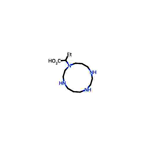 CCC(C(=O)O)N1CCCNCCNCCCNCC1